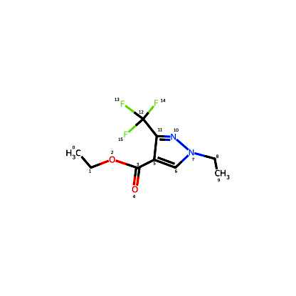 CCOC(=O)c1cn(CC)nc1C(F)(F)F